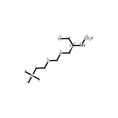 C[Si](C)(C)CCOCOC[C@@H](CCl)NC(=O)O